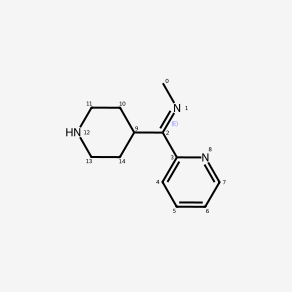 C/N=C(/c1ccccn1)C1CCNCC1